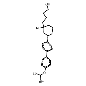 CCCC(CC)Oc1ccc(-c2ccc(C3CCCC(C#N)(CCCCO)C3)cc2)cc1